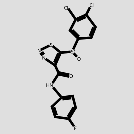 O=C(Nc1ccc(F)cc1)c1nnsc1[S+]([O-])c1ccc(Cl)c(Cl)c1